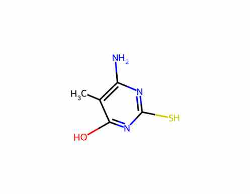 Cc1c(N)nc(S)nc1O